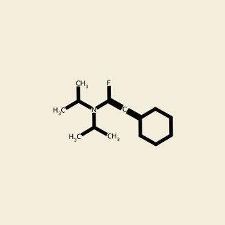 CC(C)N(C(F)=C=C1CCCCC1)C(C)C